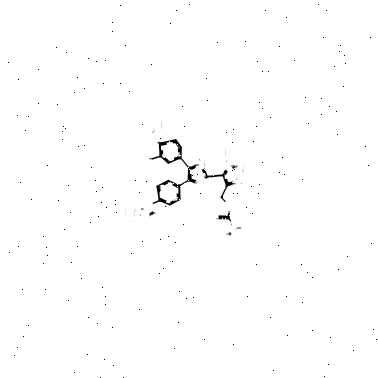 COc1ccc(-c2nc(-c3[nH]nnc3CSC(=S)N(C)O)oc2-c2ccc(S(N)(=O)=O)cc2)cc1Cl